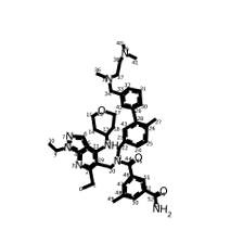 CCc1nc2c(cnn2CC)c(NC2CCOCC2)c1CN(Cc1ccc(C)c(-c2cccc(CN(C)CCN(C)C)c2)c1)C(=O)c1cc(C)cc(C(N)=O)c1